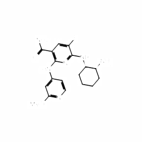 COc1cc(Nc2nc(N[C@@H]3CCCC[C@@H]3N)c(F)cc2C(N)=O)ccn1